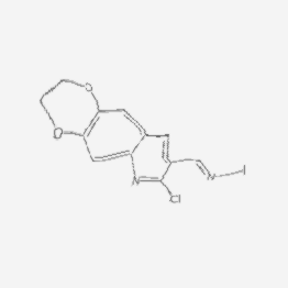 Clc1nc2cc3c(cc2cc1C=NI)OCCO3